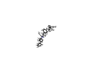 CCO[C@@H](Cc1ccc(OC/C=C(\C)c2ccc(-c3ccccc3C)cc2)cc1)C(=O)O